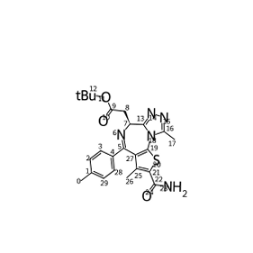 Cc1ccc(C2=N[C@@H](CC(=O)OC(C)(C)C)c3nnc(C)n3-c3sc(C(N)=O)c(C)c32)cc1